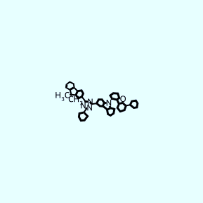 CC1(C)C2=C(CCC=C2)c2ccc(-c3nc(-c4ccccc4)nc(-c4ccc5c(c4)c4ccccc4n5-c4cccc5oc6c(-c7ccccc7)cccc6c45)n3)cc21